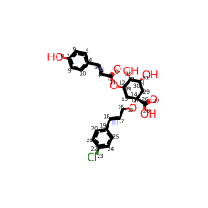 O=C(/C=C/c1ccc(O)cc1)O[C@@H]1C[C@](OC/C=C/c2ccc(Cl)cc2)(C(=O)O)C[C@H](O)[C@H]1O